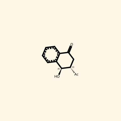 CC(=O)[C@H]1CC(=O)c2ccccc2[C@@H]1O